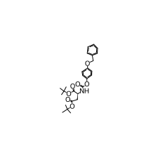 CC(C)(C)OC(=O)C[C@H](NC(=O)Oc1ccc(OCc2ccccc2)cc1)C(=O)OC(C)(C)C